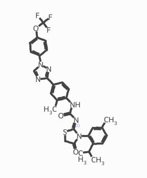 Cc1ccc(C(C)C)c(N2C(=O)CS/C2=N\C(=O)Nc2ccc(-c3ncn(-c4ccc(OC(F)(F)F)cc4)n3)cc2C)c1